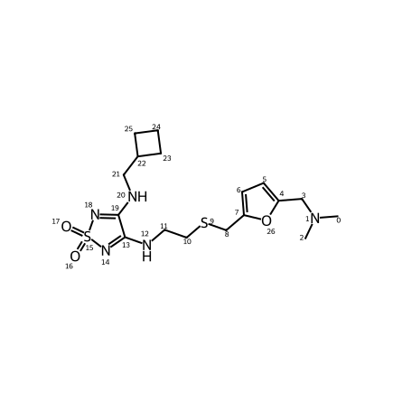 CN(C)Cc1ccc(CSCCNC2=NS(=O)(=O)N=C2NCC2CCC2)o1